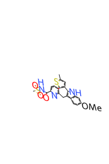 COc1ccc2c(Cc3cccc(C(=O)NS(C)(=O)=O)n3)c(-c3csc(C)c3)[nH]c2c1